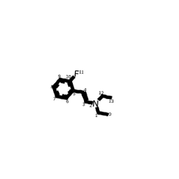 CCN(/C=[C]/c1ccccc1F)CC